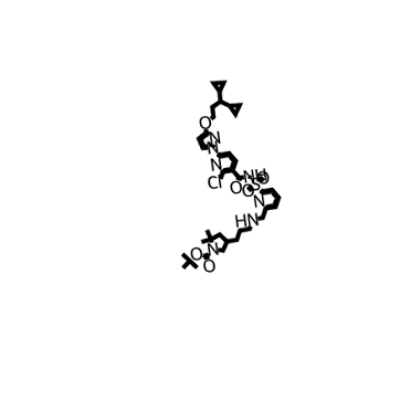 CC(C)(C)OC(=O)N1CC(CCCNCc2cccc(S(=O)(=O)NC(=O)c3ccc(-n4ccc(OCCC(C5CC5)C5CC5)n4)nc3Cl)n2)CC1(C)C